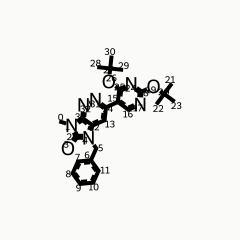 Cn1c(=O)n(Cc2ccccc2)c2cc(-c3cnc(OC(C)(C)C)nc3OC(C)(C)C)nnc21